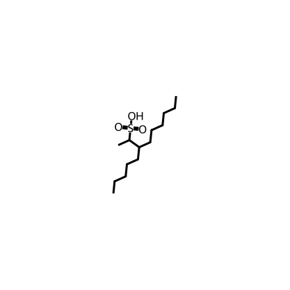 CCCCCCC(CCCCC)C(C)S(=O)(=O)O